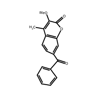 COc1c(C)c2ccc(C(=O)c3ccccc3)cc2oc1=O